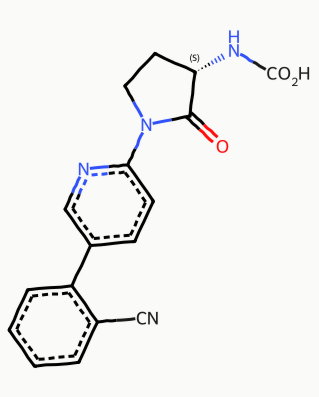 N#Cc1ccccc1-c1ccc(N2CC[C@H](NC(=O)O)C2=O)nc1